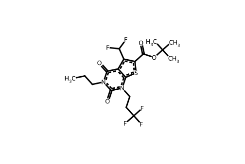 CCCn1c(=O)c2c(C(F)F)c(C(=O)OC(C)(C)C)sc2n(CCC(F)(F)F)c1=O